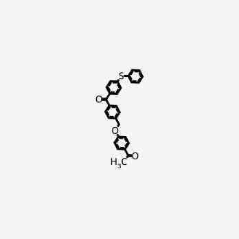 CC(=O)c1ccc(OCc2ccc(C(=O)c3ccc(Sc4ccccc4)cc3)cc2)cc1